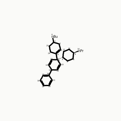 CCCCC1CC=C(C2([C@H]3CC[C@H](CCC)CC3)C=CC(c3ccccc3)C=C2)CC1